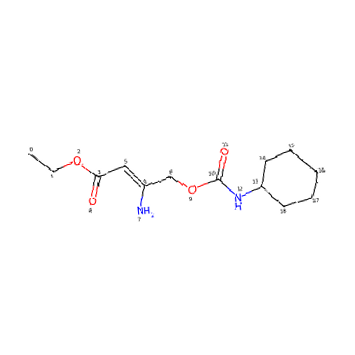 CCOC(=O)C=C(N)COC(=O)NC1CCCCC1